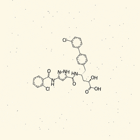 O=C(N[C@H](Cc1ccc(-c2cccc(Cl)c2)cc1)C[C@@H](O)C(=O)O)c1cc(NC(=O)c2ccccc2Cl)n[nH]1